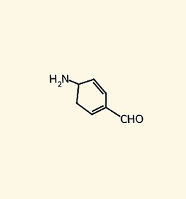 NC1C=CC(C=O)=CC1